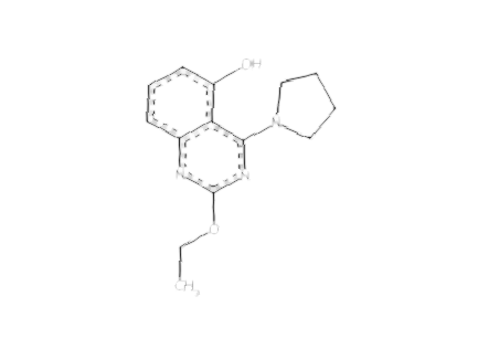 CCOc1nc(N2CCCC2)c2c(O)cccc2n1